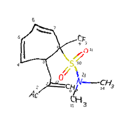 C=C(C(C)=O)C1C=CC=CC1(C(F)(F)F)S(=O)(=O)N(C)C